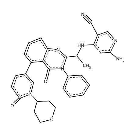 CC(Nc1nc(N)ncc1C#N)c1nc2cccc(-c3ccc(=O)n(C4CCOCC4)c3)c2c(=O)n1-c1ccccc1